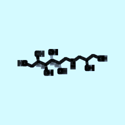 OCC(O)CNC[C@H](O)[C@@H](O)[C@@H](O)[C@H](O)CO